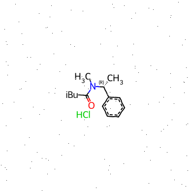 CCC(C)C(=O)N(C)[C@H](C)c1ccccc1.Cl